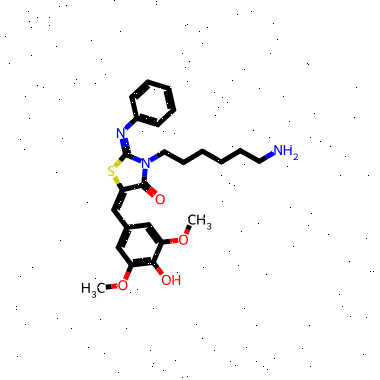 COc1cc(C=C2SC(=Nc3ccccc3)N(CCCCCCN)C2=O)cc(OC)c1O